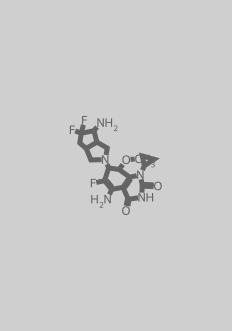 COC1c2c(c(=O)[nH]c(=O)n2C2CC2)C(N)=C(F)C1N1CC2CC(F)(F)C(N)C2C1